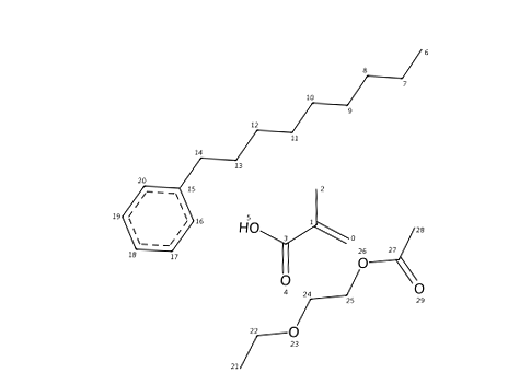 C=C(C)C(=O)O.CCCCCCCCCc1ccccc1.CCOCCOC(C)=O